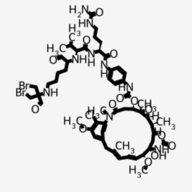 COc1cc2cc(c1Cl)N(C)C(=O)C[C@H](OC(=O)Nc1ccc(NC(=O)[C@H](CCCNC(N)=O)NC(=O)[C@@H](NC(C=O)CCCCNC(C=O)(CBr)CBr)C(C)C)cc1)[C@]1(C)O[C@H]1[C@H](C)[C@@H]1C[C@@](O)(NC(=O)O1)[C@H](OC)/C=C/C=C(\C)C2